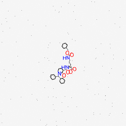 COC(=O)[C@H](CCCNC(=O)OCc1ccccc1)NC(=O)c1cccn(C(c2ccccc2)c2ccccc2)c1=O